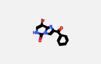 O=C(c1ccccc1)c1cn2c(=O)[nH]cc(Br)c2n1